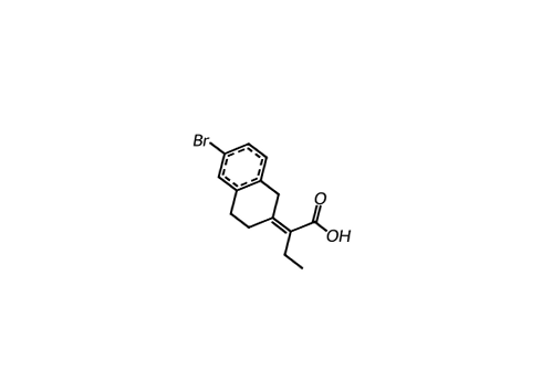 CCC(C(=O)O)=C1CCc2cc(Br)ccc2C1